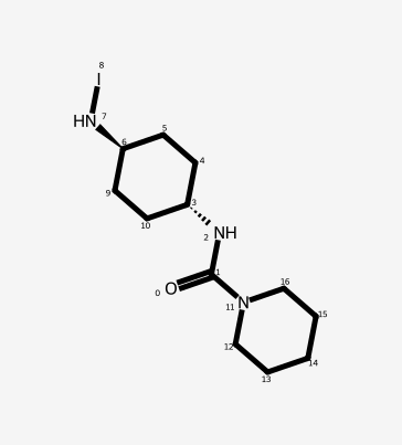 O=C(N[C@H]1CC[C@H](NI)CC1)N1CCCCC1